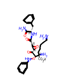 NCCCC[C@@](N)(C(=O)O)C(ONc1ccccc1)C(=O)[C@H]1O[C@@H]1C(=O)N[C@@H](Cc1ccccc1)C(N)=O